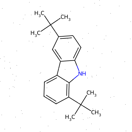 CC(C)(C)c1ccc2[nH]c3c(C(C)(C)C)cccc3c2c1